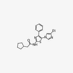 CCc1cn(-c2sc(NC(=O)CC3CCCC3)nc2-c2ccccc2)cn1